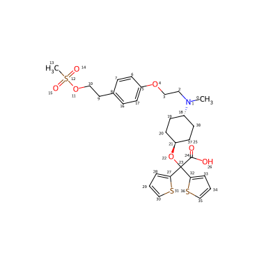 CN(CCOc1ccc(CCOS(C)(=O)=O)cc1)[C@H]1CC[C@H](OC(C(=O)O)(c2cccs2)c2cccs2)CC1